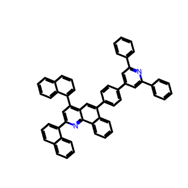 c1ccc(-c2cc(-c3ccc(-c4cc5c(-c6cccc7ccccc67)cc(-c6cccc7ccccc67)nc5c5ccccc45)cc3)cc(-c3ccccc3)n2)cc1